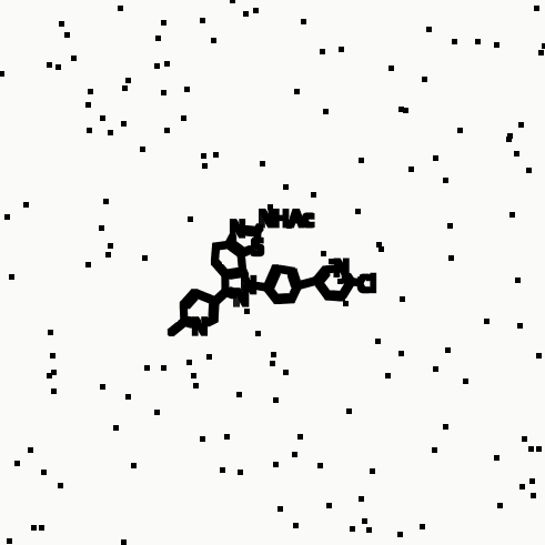 CC(=O)Nc1nc2c(s1)-c1c(c(-c3ccc(C)nc3)nn1-c1ccc(-c3ccc(Cl)nc3)cc1)CC2